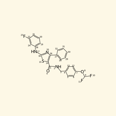 O=C(NCc1ccc(OC(F)F)cc1)c1sc(Nc2cccc(F)c2)nc1-c1ccccc1